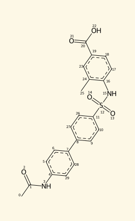 CC(=O)Nc1ccc(-c2ccc(S(=O)(=O)Nc3ccc(C(=O)O)cc3C)cc2)cc1